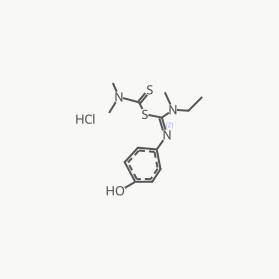 CCN(C)/C(=N/c1ccc(O)cc1)SC(=S)N(C)C.Cl